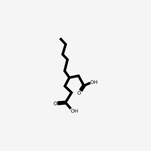 CCCCCC(CCC(=O)O)CC(=O)O